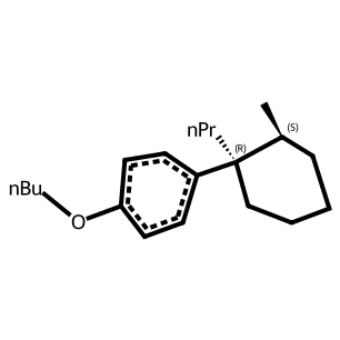 CCCCOc1ccc([C@]2(CCC)CCCC[C@@H]2C)cc1